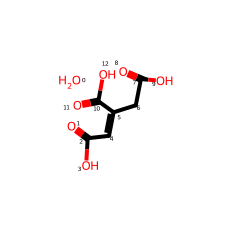 O.O=C(O)C=C(CC(=O)O)C(=O)O